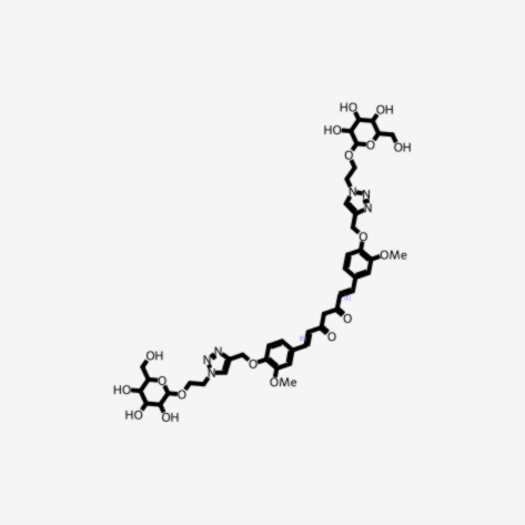 COc1cc(/C=C/C(=O)CC(=O)/C=C/c2ccc(OCc3cn(CCOC4OC(CO)C(O)C(O)C4O)nn3)c(OC)c2)ccc1OCc1cn(CCOC2OC(CO)C(O)C(O)C2O)nn1